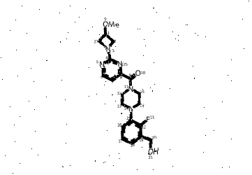 COC1CN(c2nccc(C(=O)N3CCN(c4cccc(CO)c4F)CC3)n2)C1